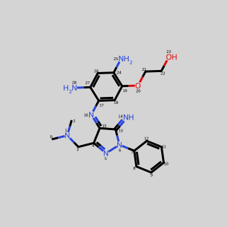 CN(C)CC1=NN(c2ccccc2)C(=N)C1=Nc1cc(OCCO)c(N)cc1N